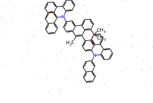 Cc1c2c3c(cccc3c3cc(N(c4ccccc4-c4ccccc4)c4cccc5ccccc45)ccc13)C(C)(C)c1cc(N(c3ccc4ccccc4c3)c3ccccc3-c3ccccc3)ccc1-2